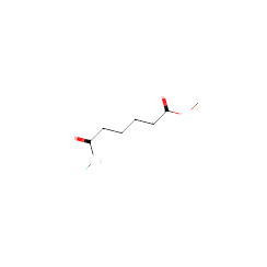 COC(=O)CCCCC(=O)[SiH2]F